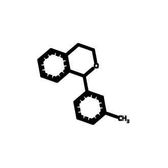 Cc1cccc(C2OCCc3ccccc32)c1